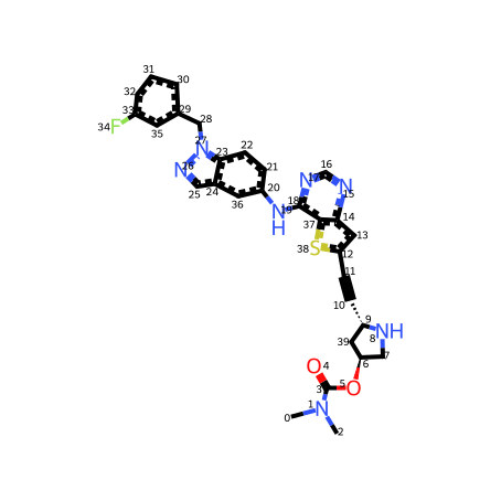 CN(C)C(=O)O[C@@H]1CN[C@@H](C#Cc2cc3ncnc(Nc4ccc5c(cnn5Cc5cccc(F)c5)c4)c3s2)C1